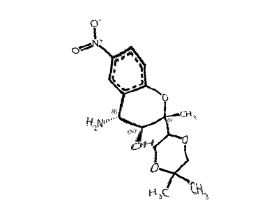 CC1(C)COC([C@@]2(C)Oc3ccc([N+](=O)[O-])cc3[C@@H](N)[C@@H]2O)CO1